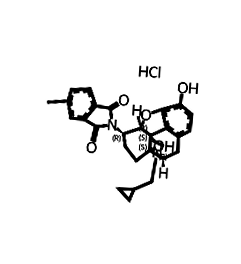 Cc1ccc2c(c1)C(=O)N([C@@H]1CC[C@@]3(O)[C@H]4Cc5ccc(O)c6c5[C@@]3(CCN4CC3CC3)[C@H]1O6)C2=O.Cl